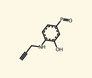 C#CCNc1ccc(P=O)cc1O